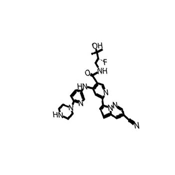 CC(C)(O)[C@H](F)CNC(=O)c1cnc(-c2ccc3cc(C#N)cnn23)cc1Nc1ccc(N2CCNCC2)nc1